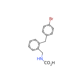 O=C(O)NCc1ccccc1Cc1ccc(Br)cc1